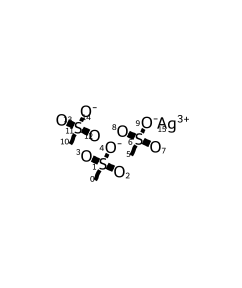 CS(=O)(=O)[O-].CS(=O)(=O)[O-].CS(=O)(=O)[O-].[Ag+3]